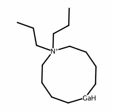 CCC[N+]1(CCC)CCC[CH2][GaH][CH2]CCC1